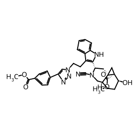 COC(=O)c1ccc(-c2cn(CCc3c([C@@H]4C[C@]56C[C@@]5(C(=O)OC)[C@@H](O)CC[C@H]6CN4C#N)[nH]c4ccccc34)nn2)cc1